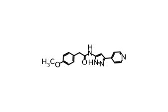 COc1ccc(CC(=O)Nc2cc(-c3ccncc3)n[nH]2)cc1